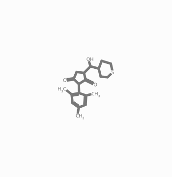 Cc1cc(C)c(C2C(=O)CC(C(O)C3CCSCC3)C2=O)c(C)c1